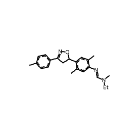 CCN(C)C=Nc1cc(C)c(C2CC(c3ccc(C)cc3)=NO2)cc1C